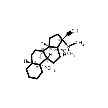 C#C[C@]1(N(C)C)CC[C@H]2[C@@H]3CC[C@H]4CCCC[C@]4(C)[C@H]3CC[C@@]21C